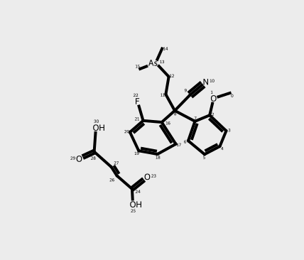 COc1ccccc1C(C#N)(CC[As](C)C)c1ccccc1F.O=C(O)/C=C/C(=O)O